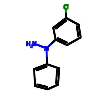 NN(c1ccccc1)c1cccc(Cl)c1